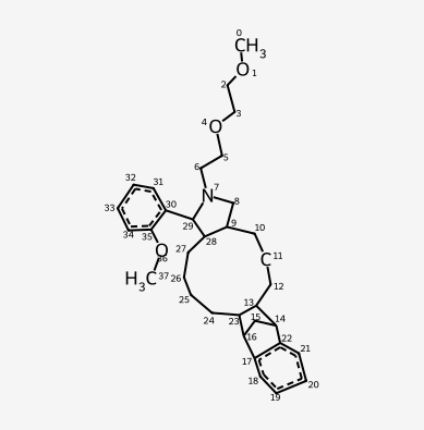 COCCOCCN1CC2CCCC3C4CC(c5ccccc54)C3CCCCC2C1c1ccccc1OC